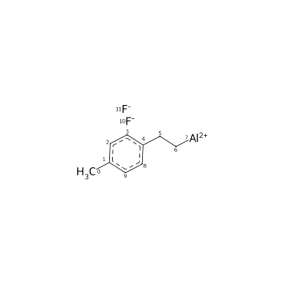 Cc1ccc(C[CH2][Al+2])cc1.[F-].[F-]